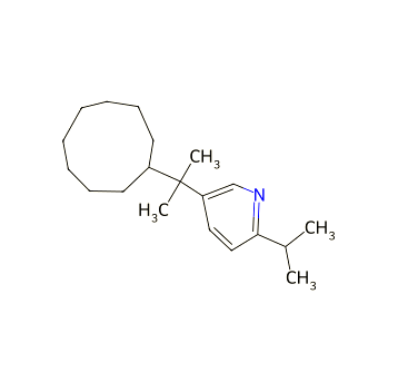 CC(C)c1ccc(C(C)(C)C2CCCCCCCC2)cn1